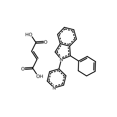 C1=CCCC(c2c3ccccc3cn2-c2ccncc2)=C1.O=C(O)C=CC(=O)O